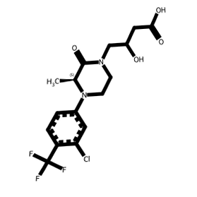 C[C@H]1C(=O)N(CC(O)CC(=O)O)CCN1c1ccc(C(F)(F)F)c(Cl)c1